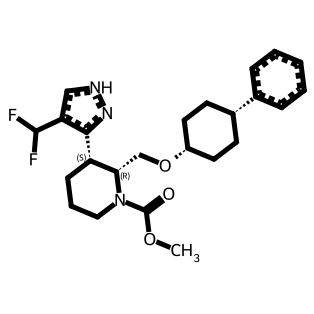 COC(=O)N1CCC[C@H](c2n[nH]cc2C(F)F)[C@@H]1CO[C@H]1CC[C@@H](c2ccccc2)CC1